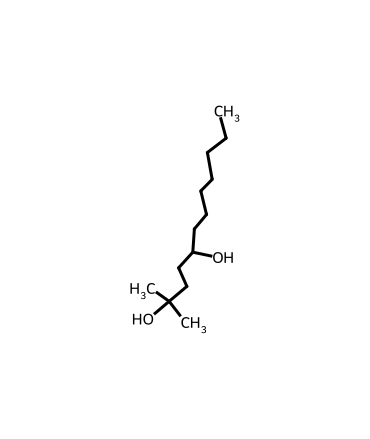 CCCCCCCC(O)CCC(C)(C)O